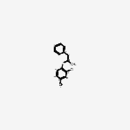 CC(Cc1ccccc1)Oc1ccc(C#N)cc1Cl